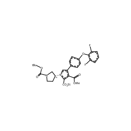 CCOC(=O)c1c(C(=O)OC)c(-c2ccc(Oc3c(F)cccc3F)cc2)cn1[C@@H]1CCN(C(=O)OC(C)(C)C)C1